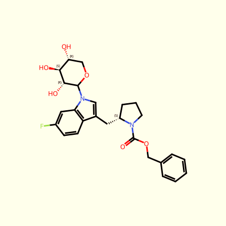 O=C(OCc1ccccc1)N1CCC[C@H]1Cc1cn(C2OC[C@@H](O)[C@H](O)[C@H]2O)c2cc(F)ccc12